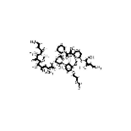 C=C/C=C(\C)[C@H](C[C@@H]1CC[C@@H](C)[C@](O)(C(=O)C(=O)N2CCCC[C@H]2C(=O)O[C@@H](CC(=O)[C@H](C)/C=C(\C)[C@@H](O)[C@@H](OC)C(=O)[C@H](C)C[C@H](C)/C=C/C)[C@H](C)C[C@@H]2CC[C@@H](OCCOCC)[C@H](OC)C2)O1)OC